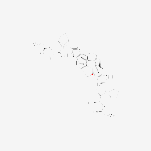 COC(=O)NC(C(=O)N1C2CCC(C2)[C@H]1c1nc2cc(-c3cc4ccc3CCc3ccc(c(-c5ccc6[nH]c([C@@H]7C8CCC(C8)N7C(=O)C(NC(=O)OC)C(C)C)nc6c5)c3)CC4)ccc2[nH]1)C(C)C